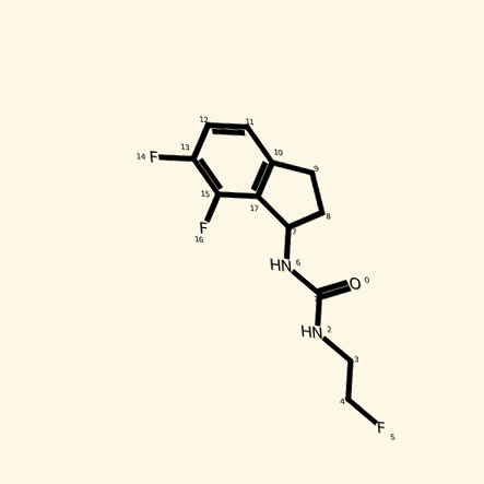 O=C(NCCF)NC1CCc2ccc(F)c(F)c21